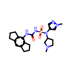 CN1CCC(N(c2cnn(C)c2)S(=O)(=O)NC(=O)Nc2c3c(cc4c2CCC4)CCC3)C1